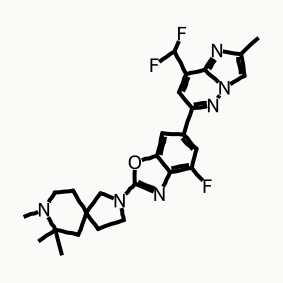 Cc1cn2nc(-c3cc(F)c4nc(N5CCC6(CCN(C)C(C)(C)C6)C5)oc4c3)cc(C(F)F)c2n1